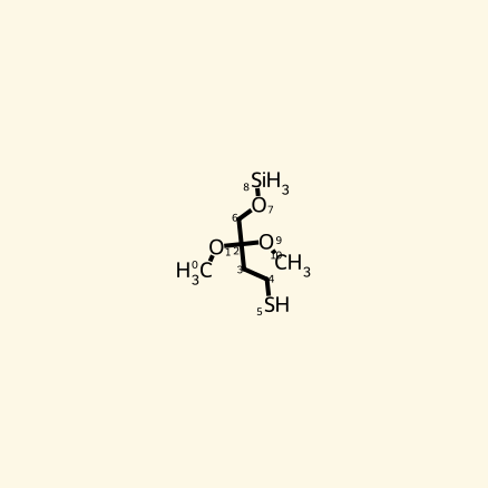 COC(CCS)(CO[SiH3])OC